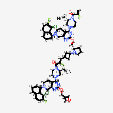 C=C(F)C(=O)N1CCN(c2nc(OC[C@@H]3CCCN3C3CC(/C=C(\F)C(=O)N4CCN(c5nc(OCC6COC6)nc6c5CCN(c5cccc7ccc(F)c(Cl)c57)C6)C[C@@H]4CC#N)C3)nc3c2CCN(c2cccc4ccc(F)c(Cl)c24)C3)C[C@@H]1CC#N